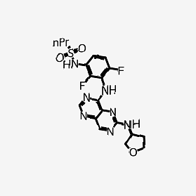 CCCS(=O)(=O)Nc1ccc(F)c(Nc2ncnc3cnc(NC4CCOC4)nc23)c1F